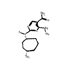 CC(C)Nc1nc(N(F)[C@@H]2CCC[C@H](O)CC2)ncc1C(N)=O